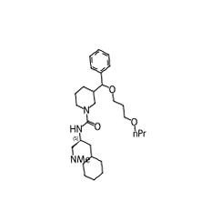 CCCOCCCOC(c1ccccc1)C1CCCN(C(=O)N[C@H](CNC)CC2CCCCC2)C1